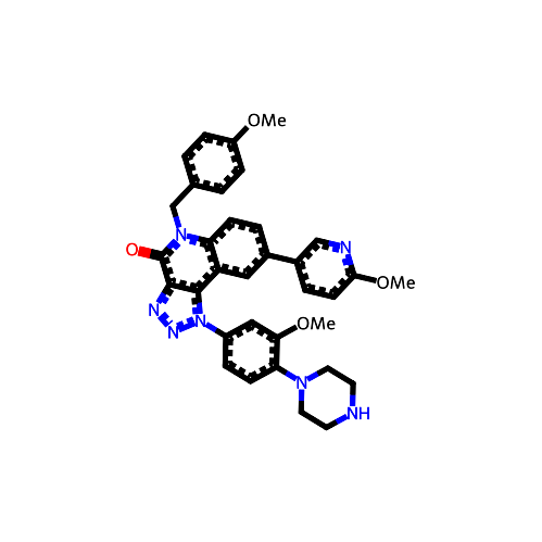 COc1ccc(Cn2c(=O)c3nnn(-c4ccc(N5CCNCC5)c(OC)c4)c3c3cc(-c4ccc(OC)nc4)ccc32)cc1